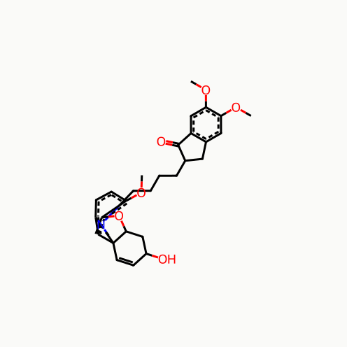 COc1cc2c(cc1OC)C(=O)C(CCCCN1CCC34C=CC(O)CC3Oc3c(OC)ccc(c34)C1)C2